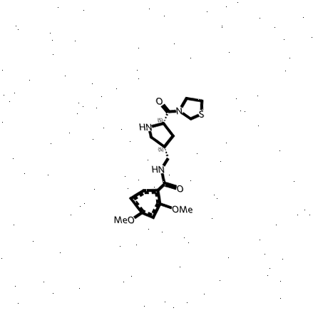 COc1ccc(C(=O)NC[C@@H]2CN[C@H](C(=O)N3CCSC3)C2)c(OC)c1